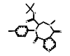 Cc1ccc(N2C(=O)c3cnccc3C(=O)N(C)CC2C(=O)NC(C)(C)C)cc1